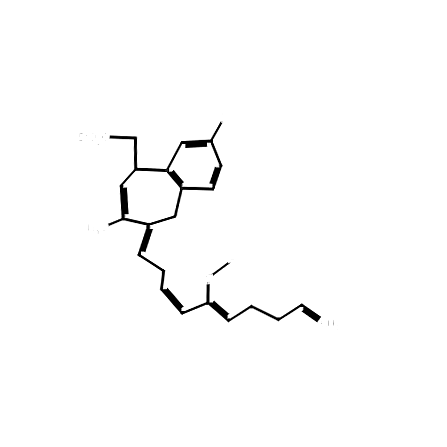 C=CCC/C=C(/C=C\C/C=C1\Cc2ccc(F)cc2C(CC(=O)OCC)C=C1C)SCC